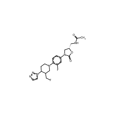 CC(=O)NC[C@H]1CN(c2ccc(N3CCC(n4ccnn4)C(CF)C3)c(F)c2)C(=O)O1